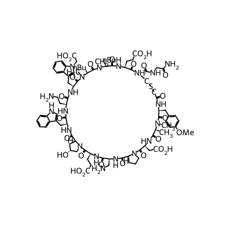 CCCC[C@H]1C(=O)N(C)[C@@H](CCCC)C(=O)N[C@@H](CCC(=O)O)C(=O)N[C@H](C(=O)NCC(N)=O)CSCC(=O)N[C@@H](Cc2ccc(OC)cc2)C(=O)N(C)[C@@H](C)C(=O)N[C@@H](CC(=O)O)C(=O)N2CCC[C@H]2C(=O)N[C@@H](CN)C(=O)N[C@@H](CCC(=O)O)C(=O)N2C[C@H](O)C[C@H]2C(=O)N[C@@H](Cc2c[nH]c3ccccc23)C(=O)N[C@@H](CCN)C(=O)N[C@@H](Cc2cn(CC(=O)O)c3ccccc23)C(=O)N1C